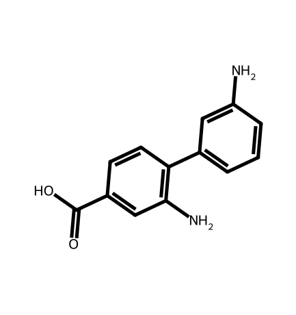 Nc1cccc(-c2ccc(C(=O)O)cc2N)c1